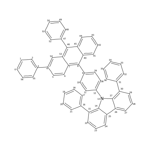 c1ccc(-c2ccc3c(-c4ccc(-n5c6c(-c7ccccc7)cccc6c6cccc(-c7ccccc7)c65)cc4)c4ccccc4c(-c4ccccc4)c3c2)cc1